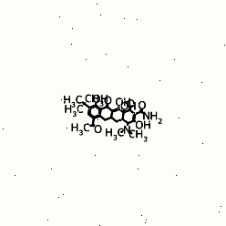 CC(=O)c1cc(C(C)(C)C)c(O)c2c1CC1CC3C(N(C)C)C(O)=C(C(N)=O)C(=O)C3(O)C(O)=C1C2=O